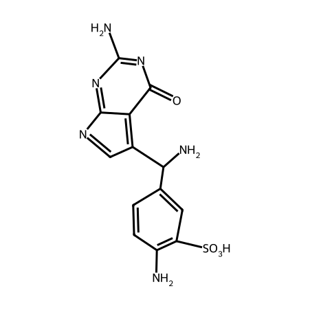 NC1=NC(=O)C2=C(C(N)c3ccc(N)c(S(=O)(=O)O)c3)C=NC2=N1